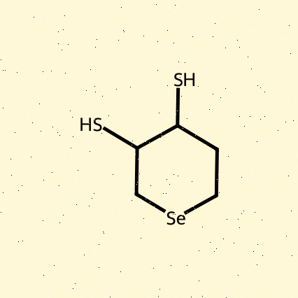 SC1CC[Se]CC1S